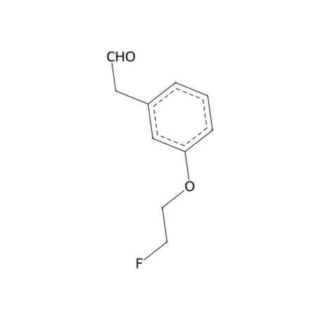 O=CCc1cccc(OCCF)c1